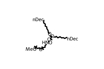 CCCCCCCCCCCCCCCCCCOCC(OCCCCCCCCCCCCCCCCCC)C(C)OC(=O)NCCCC(C)(C)OCCC(C)(C)OC